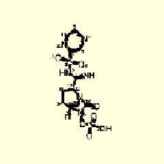 N=C(NS(=O)(=O)c1cnccn1)[C@@H]1CC[C@@H]2CN1C(=O)N2OS(=O)(=O)O